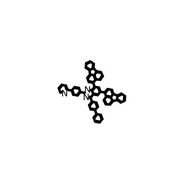 c1ccc(-c2ccc(-c3nc(-c4ccc(-c5ccccn5)cc4)nc4c(-c5ccc6c7c(cccc57)-c5ccccc5-6)cc(-c5ccc6c7c(cccc57)-c5ccccc5-6)cc34)cc2)cc1